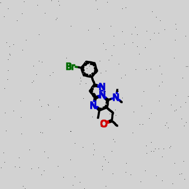 CC(=O)Cc1c(C)nc2cc(-c3cccc(Br)c3)nn2c1N(C)C